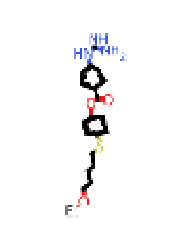 CCOCCCCCSc1ccc(OC(=O)c2ccc(NC(=N)N)cc2)cc1